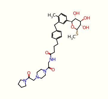 CS[C@H]1O[C@@H](c2ccc(C)c(Cc3ccc(CCCC(=O)NCC(=O)N4CCN(CC(=O)N5CCCC5)CC4)cc3)c2)[C@H](O)[C@@H](O)[C@@H]1O